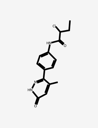 CCC(Cl)C(=O)Nc1ccc(-c2n[nH]c(=O)cc2C)cc1